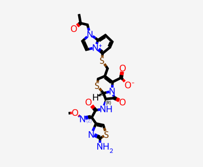 CO/N=C(\C(=O)N[C@@H]1C(=O)N2C(C(=O)[O-])=C(CSc3cccc4n(CC(C)=O)cc[n+]34)CS[C@@H]12)c1csc(N)n1